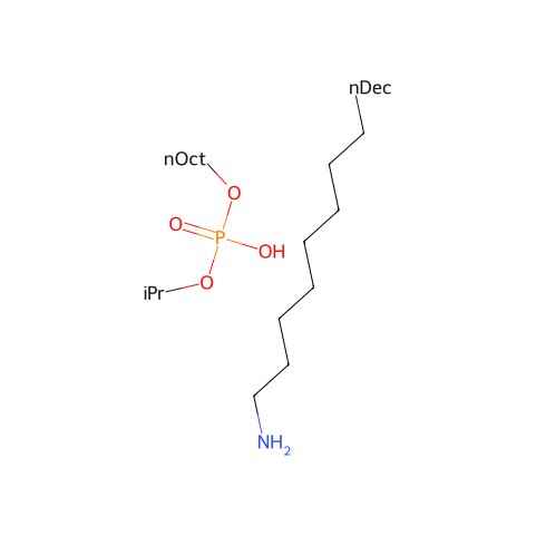 CCCCCCCCCCCCCCCCCCN.CCCCCCCCOP(=O)(O)OC(C)C